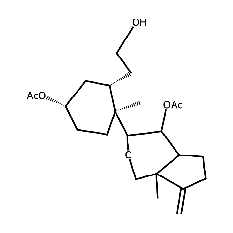 C=C1CCC2C(OC(C)=O)C([C@@]3(C)CC[C@H](OC(C)=O)C[C@@H]3CCO)CCC12C